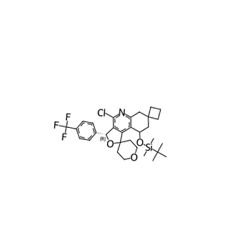 CC(C)(C)[Si](C)(C)OC1CC2(CCC2)Cc2nc(Cl)c3c(c21)C1(CCOCC1)O[C@@H]3c1ccc(C(F)(F)F)cc1